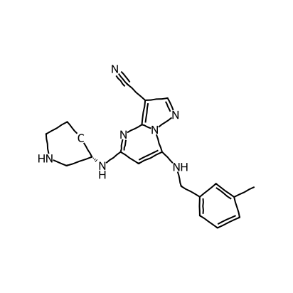 Cc1cccc(CNc2cc(N[C@H]3CCCNC3)nc3c(C#N)cnn23)c1